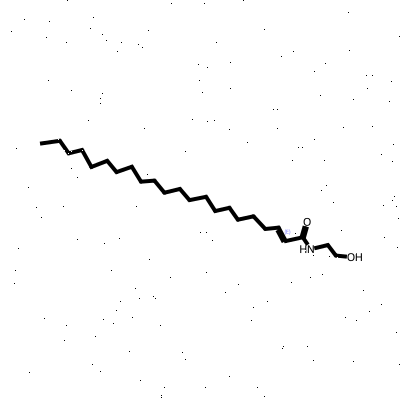 CCCCCCCCCCCCCCCCCCC/C=C/C(=O)NCCO